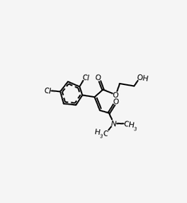 CN(C)C(=O)C=C(C(=O)OCCO)c1ccc(Cl)cc1Cl